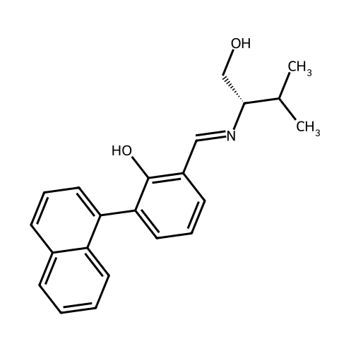 CC(C)[C@@H](CO)/N=C/c1cccc(-c2cccc3ccccc23)c1O